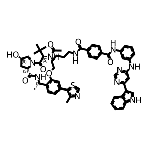 CC(=O)N[C@H](C(=O)N1C[C@H](O)C[C@H]1C(=O)N[C@@H](C)c1ccc(-c2scnc2C)cc1OCCCCCNC(=O)c1ccc(C(=O)Nc2cccc(Nc3cc(-c4c[nH]c5ccccc45)ncn3)c2)cc1)C(C)(C)C